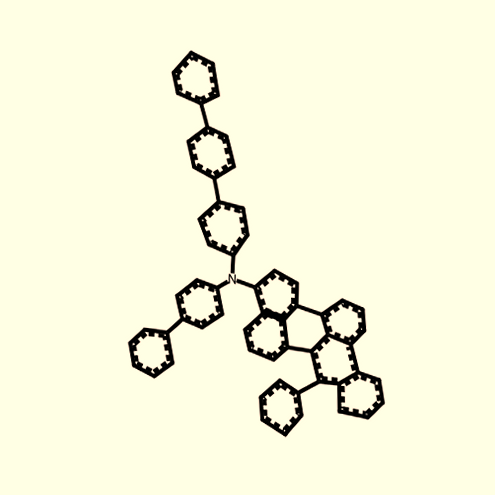 c1ccc(-c2ccc(-c3ccc(N(c4ccc(-c5ccccc5)cc4)c4ccc(-c5cccc6c5c(-c5ccccc5)c(-c5ccccc5)c5ccccc56)cc4)cc3)cc2)cc1